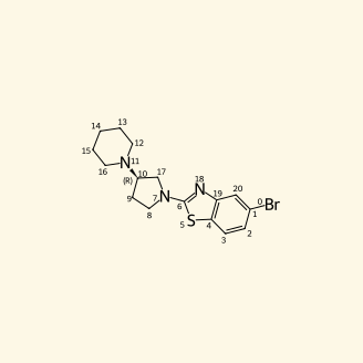 Brc1ccc2sc(N3CC[C@@H](N4CCCCC4)C3)nc2c1